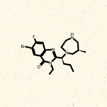 CCC[C@@H](c1nc2cc(F)c(Br)cc2c(=O)n1CC)N1CCNC[C@@H](C)C1